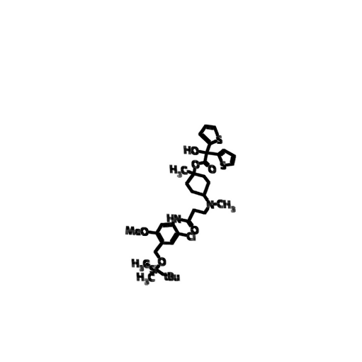 COc1cc(NC(=O)CCN(C)C2CCC(C)(OC(=O)C(O)(c3cccs3)c3cccs3)CC2)c(Cl)cc1CO[Si](C)(C)C(C)(C)C